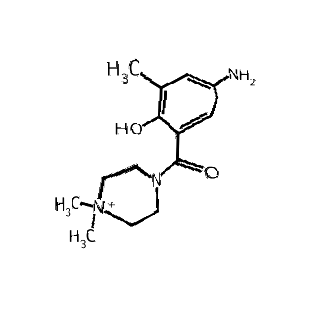 Cc1cc(N)cc(C(=O)N2CC[N+](C)(C)CC2)c1O